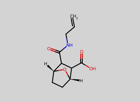 C=CCNC(=O)C1C(C(=O)O)[C@@H]2CC[C@H]1O2